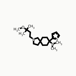 COC(C)(C)CCN1CCC2(CCC(c3cccs3)(N(C)C)CC2)C1